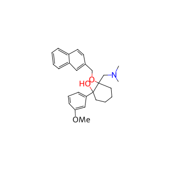 COc1cccc(C2(O)CCCCC2(CN(C)C)OCc2ccc3ccccc3c2)c1